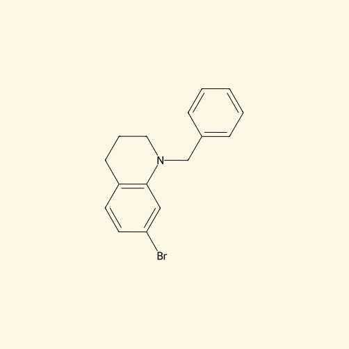 Brc1ccc2c(c1)N(Cc1ccccc1)CCC2